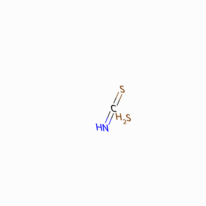 N=C=S.S